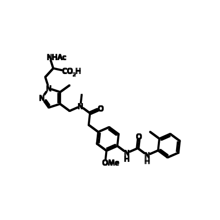 COc1cc(CC(=O)N(C)Cc2cnn(CC(NC(C)=O)C(=O)O)c2C)ccc1NC(=O)Nc1ccccc1C